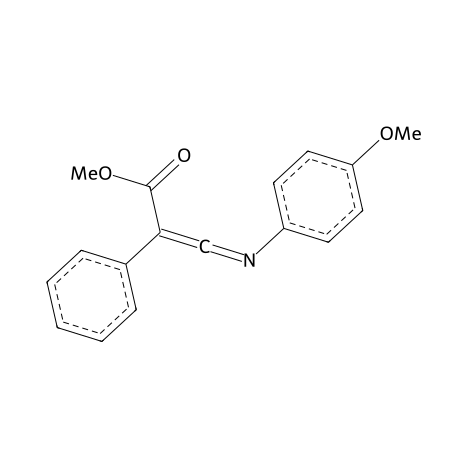 COC(=O)C(=C=Nc1ccc(OC)cc1)c1ccccc1